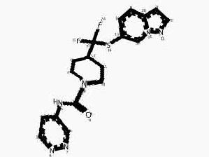 O=C(Nc1ccnnc1)N1CCC(C(F)(F)Sc2ccc3ccnn3c2)CC1